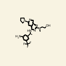 C[C@H](Nc1nc(N(C)CCO)nc2cnc(N3CCCC3)cc12)c1cc(N)cc(C(F)(F)F)c1